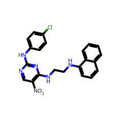 O=[N+]([O-])c1cnc(Nc2ccc(Cl)cc2)nc1NCCNc1cccc2ccccc12